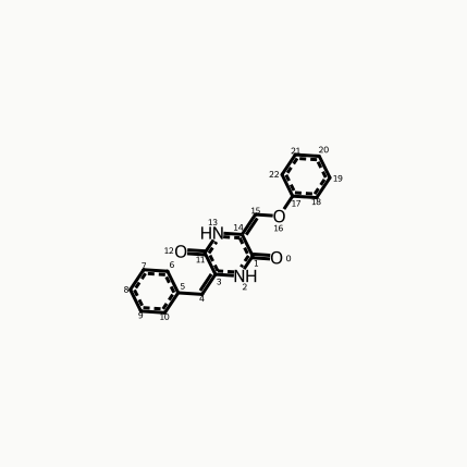 O=c1[nH]c(=Cc2ccccc2)c(=O)[nH]c1=COc1ccccc1